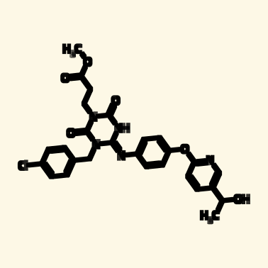 COC(=O)CCn1c(=O)[nH]/c(=N\c2ccc(Oc3ccc(C(C)O)cn3)cc2)n(Cc2ccc(Cl)cc2)c1=O